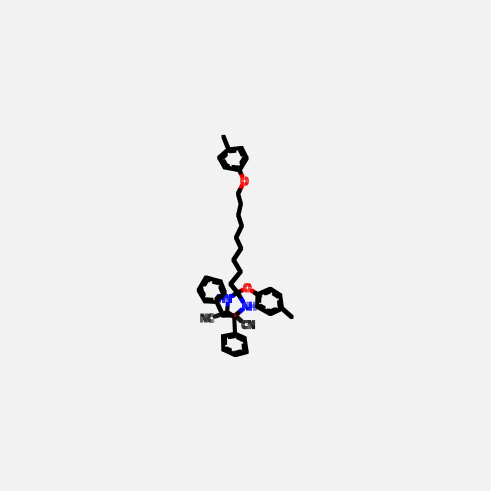 Cc1ccc(OCCCCCCCCCC(NC(C#N)Cc2ccccc2)(NC(C#N)Cc2ccccc2)Oc2ccc(C)cc2)cc1